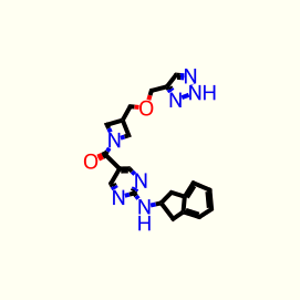 O=C(c1cnc(NC2Cc3ccccc3C2)nc1)N1CC(COCc2cn[nH]n2)C1